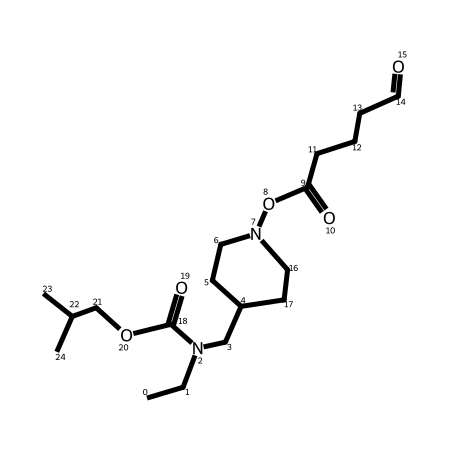 CCN(CC1CCN(OC(=O)CCCC=O)CC1)C(=O)OCC(C)C